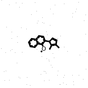 COc1c(C2C=CC(C)=C2C)ccc2ccccc12